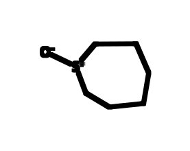 [O-][S+]1CCCCCC1